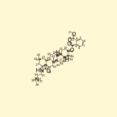 COC(=O)c1ccccc1C(=O)O[C@H]1CC[C@]2(C)[C@H]3CCC4=C5CC(C)(C)CC[C@]5(C(=O)NCC[N+](C)(C)C)CC[C@@]4(C)[C@]3(C)CC[C@H]2C1(C)C